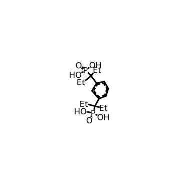 CCC(CC)(c1cccc(C(CC)(CC)P(=O)(O)O)c1)P(=O)(O)O